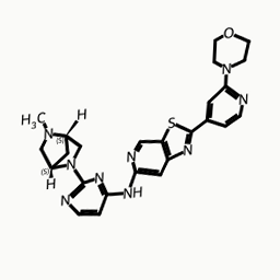 CN1C[C@@H]2C[C@H]1CN2c1nccc(Nc2cc3nc(-c4ccnc(N5CCOCC5)c4)sc3cn2)n1